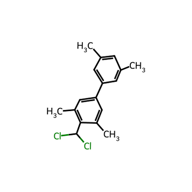 Cc1cc(C)cc(-c2cc(C)c(C(Cl)Cl)c(C)c2)c1